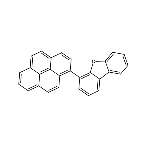 c1cc2ccc3ccc(-c4cccc5c4oc4ccccc45)c4ccc(c1)c2c34